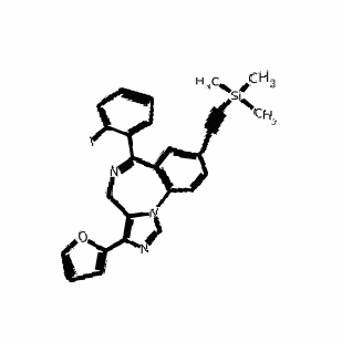 C[Si](C)(C)C#Cc1ccc2c(c1)C(c1ccccc1I)=NCc1c(-c3ccco3)ncn1-2